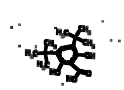 CC(C)(C)c1cc(C(C)(C)C)c(O)c(C(=O)O)c1O